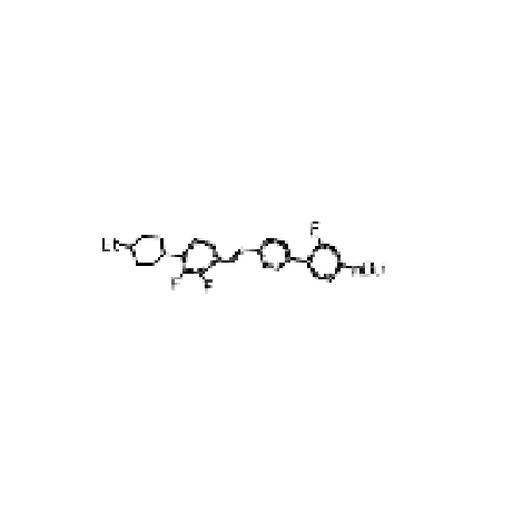 CCCCc1ccc(-c2ccc(/C=C/c3ccc(C4CCC(CC)CC4)c(F)c3F)cc2)c(F)c1